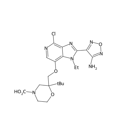 CCn1c(-c2nonc2N)nc2c(Cl)ncc(OCC3(C(C)(C)C)CN(C(=O)O)CCO3)c21